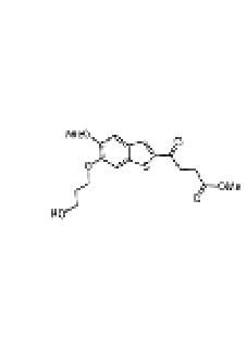 COC(=O)CCC(=O)c1cc2cc(OC)c(OCCCO)cc2s1